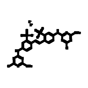 COc1nc(Cl)nc(Nc2ccc(C=Cc3ccc(Nc4nc(Cl)nc(OC)n4)cc3S(=O)(=O)[O-])c(S(=O)(=O)[O-])c2)n1.[K+].[K+]